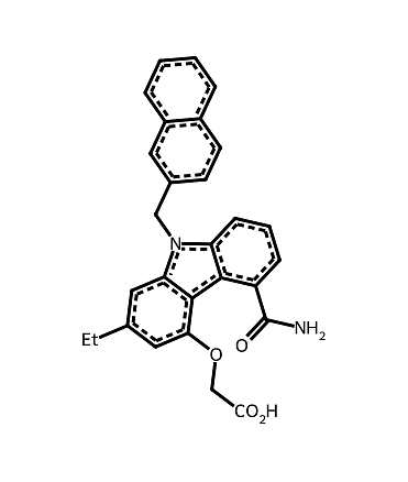 CCc1cc(OCC(=O)O)c2c3c(C(N)=O)cccc3n(Cc3ccc4ccccc4c3)c2c1